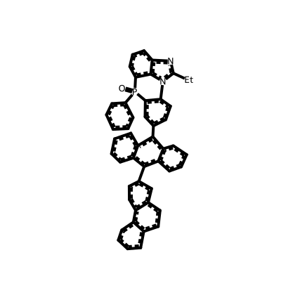 CCc1nc2cccc3c2n1-c1ccc(-c2c4ccccc4c(-c4ccc5c(ccc6ccccc65)c4)c4ccccc24)cc1P3(=O)c1ccccc1